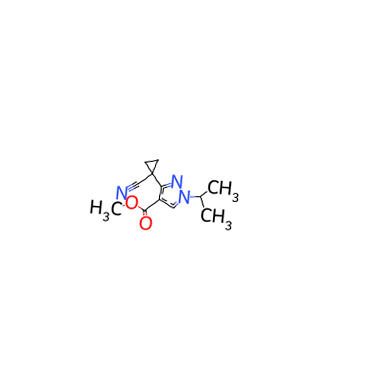 COC(=O)c1cn(C(C)C)nc1C1(C#N)CC1